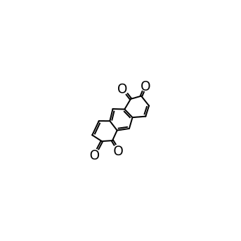 O=c1ccc2cc3c(=O)c(=O)ccc3cc2c1=O